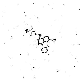 CNS(=O)(=O)CCNc1nc(=O)n(-c2ccccc2Cl)c2cc(C3CC3)ccc12